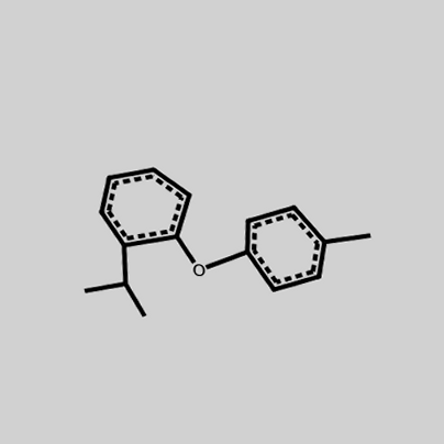 Cc1ccc(Oc2ccccc2C(C)C)cc1